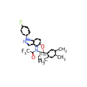 Cc1cc(C)c([C@H](Oc2ccc3c(cnn3-c3ccc(F)cc3)c2)[C@H](C)NC(=O)C(F)(F)F)cc1C